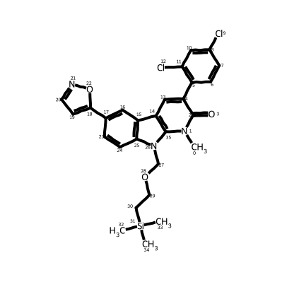 Cn1c(=O)c(-c2ccc(Cl)cc2Cl)cc2c3cc(-c4ccno4)ccc3n(COCC[Si](C)(C)C)c21